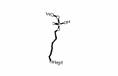 CCCCCCCCCCCCOP(=O)(O)OO